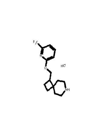 Cl.FC(F)(F)c1cccc(OCC2CCC23CCNCC3)n1